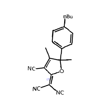 [C-]#[N+]/C(C#N)=C1\OC(C)(c2ccc(CCCC)cc2)C(C)=C1C#N